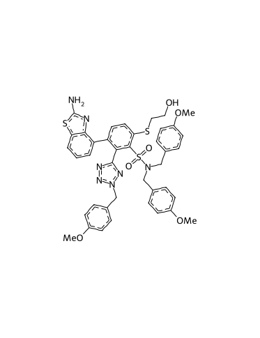 COc1ccc(CN(Cc2ccc(OC)cc2)S(=O)(=O)c2c(SCCO)ccc(-c3cccc4sc(N)nc34)c2-c2nnn(Cc3ccc(OC)cc3)n2)cc1